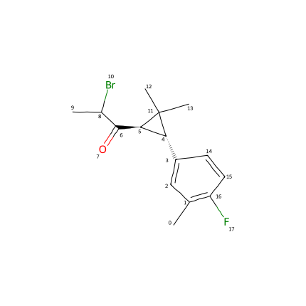 Cc1cc([C@@H]2[C@@H](C(=O)C(C)Br)C2(C)C)ccc1F